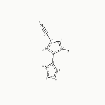 Cn1cc(C#N)nc1-c1nccs1